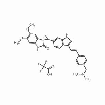 COc1cc2c(cc1OC)[C@]1(C[C@H]1c1ccc3c(/C=C/c4ccc(CN(C)C)cc4)n[nH]c3c1)C(=O)N2.O=C(O)C(F)(F)F